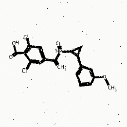 C=C(c1cc(Cl)c(C(=O)O)c(Cl)c1)[PH](=O)C1CC1c1cccc(OC)c1